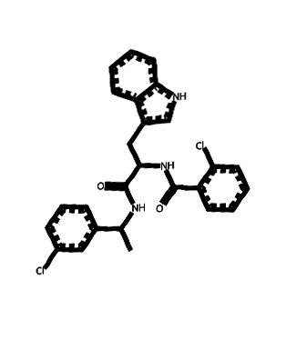 CC(NC(=O)C(Cc1c[nH]c2ccccc12)NC(=O)c1ccccc1Cl)c1cccc(Cl)c1